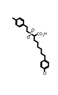 Cc1ccc(CCS(=O)(=O)C(CCCCCCc2ccc(Cl)cc2)C(=O)O)cc1